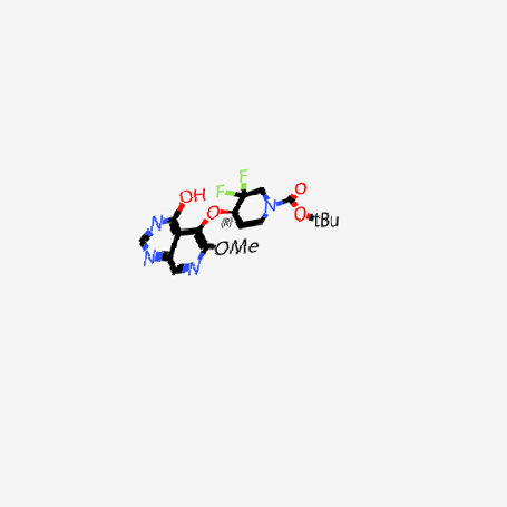 COc1ncc2ncnc(O)c2c1O[C@@H]1CCN(C(=O)OC(C)(C)C)CC1(F)F